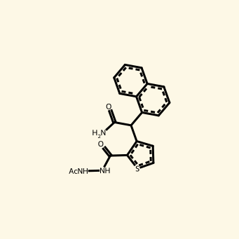 CC(=O)NNC(=O)c1sccc1C(C(N)=O)c1cccc2ccccc12